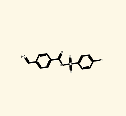 [CH]=Cc1ccc(C(=O)NS(=O)(=O)c2ccc(Cl)cc2)cc1